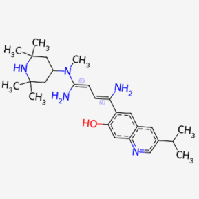 CC(C)c1cnc2cc(O)c(/C(N)=C/C=C(\N)N(C)C3CC(C)(C)NC(C)(C)C3)cc2c1